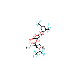 CCC(C)(COC(C(F)(F)F)C(F)(F)F)C(=O)OC1C(=O)OC2C3OC4(CC(C(F)(F)F)CC(C(F)(F)F)C4)OC3OC12